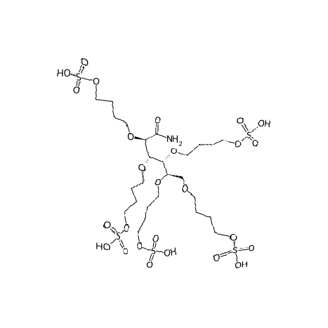 NC(=O)[C@H](OCCCCOS(=O)(=O)O)[C@@H](OCCCCOS(=O)(=O)O)[C@H](OCCCCOS(=O)(=O)O)[C@@H](COCCCCOS(=O)(=O)O)OCCCCOS(=O)(=O)O